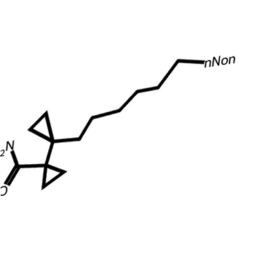 CCCCCCCCCCCCCCCC1(C2(C(N)=O)CC2)CC1